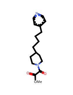 COC(=O)C(=O)N1CCC(CCCCc2ccncc2)CC1